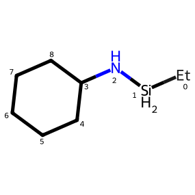 CC[SiH2]NC1CCCCC1